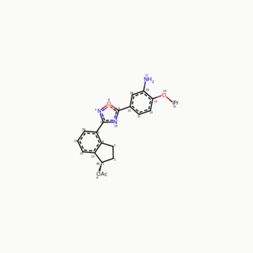 CC(=O)O[C@@H]1CCc2c(-c3noc(-c4ccc(OC(C)C)c(N)c4)n3)cccc21